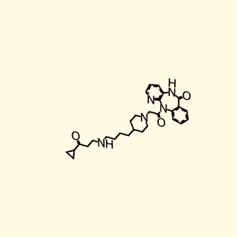 O=C1Nc2cccnc2N(C(=O)CN2CCC(CCCCNCCC(=O)C3CC3)CC2)c2ccccc21